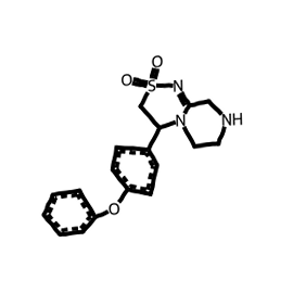 O=S1(=O)CC(c2ccc(Oc3ccccc3)cc2)N2CCNCC2=N1